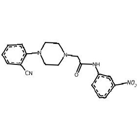 N#Cc1ccccc1N1CCN(CC(=O)Nc2cccc([N+](=O)[O-])c2)CC1